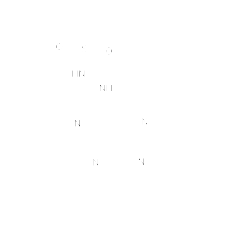 CC(C)n1cnc2c(NNS(C)(=O)=O)ncnc21